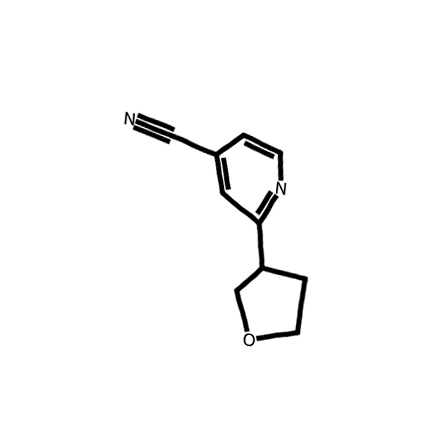 N#Cc1ccnc(C2CCOC2)c1